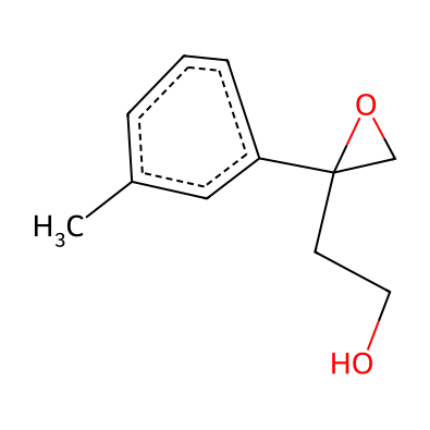 Cc1cccc(C2(CCO)CO2)c1